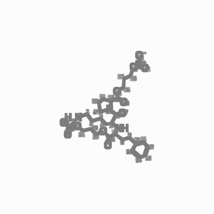 NCCCC[C@H](N[C@@H](CCc1ccccc1)C(=O)OCCCO[N+](=O)[O-])C(=O)N1CCC[C@H]1C(=O)OCCCO[N+](=O)[O-]